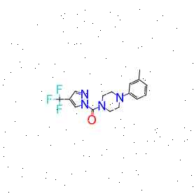 Cc1cccc(N2CCN(C(=O)n3cc(C(F)(F)F)cn3)CC2)c1